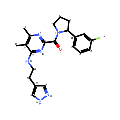 Cc1nc(C(=O)N2CCCC2c2cccc(F)c2)nc(NCCc2cn[nH]c2)c1C